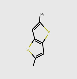 Cc1cc2sc(C(C)C)cc2s1